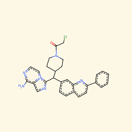 Nc1nccn2c(C(c3ccc4ccc(-c5ccccc5)nc4c3)C3CCN(C(=O)CCl)CC3)ncc12